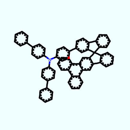 c1ccc(-c2ccc(N(c3ccc(-c4ccccc4)cc3)c3ccc(-c4ccc5c(c4)C4(c6ccccc6-5)c5ccccc5-c5cc6c7ccccc7c7ccccc7c6cc54)cc3)cc2)cc1